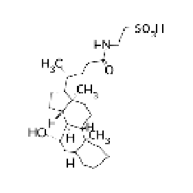 C[C@H](CCC(=O)NCCS(=O)(=O)O)[C@H]1CC[C@H]2[C@@H]3[C@@H](O)C[C@@H]4CCCC[C@]4(C)[C@H]3CC[C@]12C